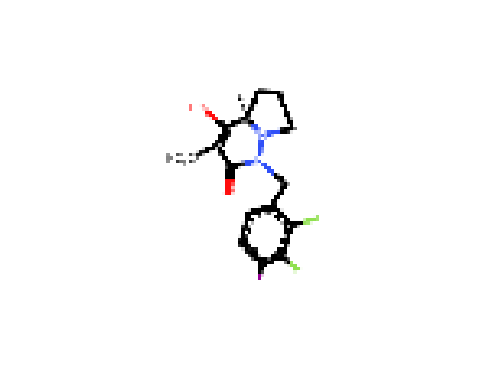 C[C@]12CCCN1N(Cc1ccc(I)c(F)c1F)C(=O)C(C(=O)O)=C2O